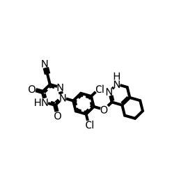 N#Cc1nn(-c2cc(Cl)c(OC3=NNCC4=C3CCCC4)c(Cl)c2)c(=O)[nH]c1=O